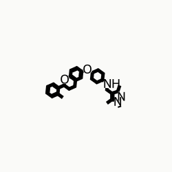 Cc1ccccc1C1CCc2cc(OC3CCC(NCc4c(C)nn(C)c4C)CC3)ccc2O1